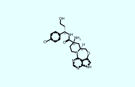 N[C@]1(C(=O)N[C@@H](CCO)c2ccc(Cl)cc2)CCN2c3ncnc4[nH]cc(c34)OC[C@@H]2C1